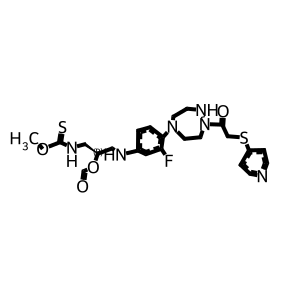 COC(=S)NC[C@@H](CNc1ccc(N2CCNN(C(=O)CSc3ccncc3)CC2)c(F)c1)OC=O